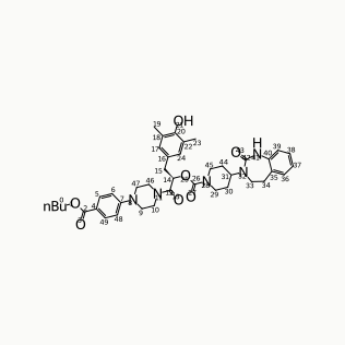 CCCCOC(=O)c1ccc(N2CCN(C(=O)[C@@H](Cc3cc(C)c(O)c(C)c3)OC(=O)N3CCC(N4CCc5ccccc5NC4=O)CC3)CC2)cc1